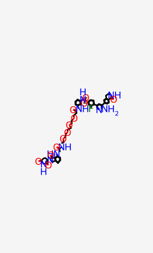 Nc1ncc(-c2ccc(S(=O)(=O)Nc3cccc(NC(=O)CCOCCOCCOCCOCCNC(=O)CNc4cccc5c4C(=O)N(C4CCC(=O)NC4=O)C5)c3)cc2F)cc1-c1ccc2c(c1)CCNC2=O